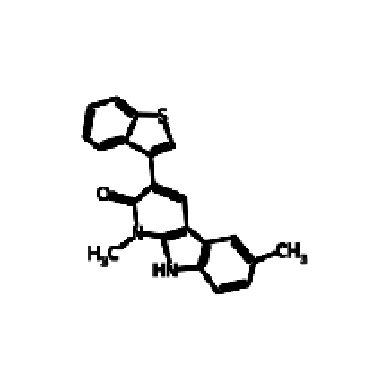 Cc1ccc2[nH]c3c(cc(-c4csc5ccccc45)c(=O)n3C)c2c1